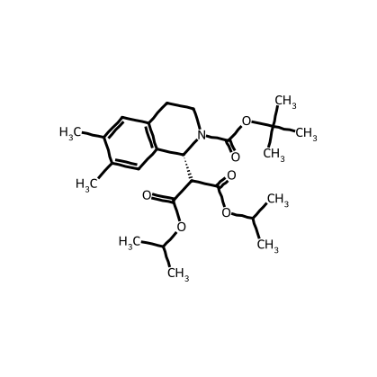 Cc1cc2c(cc1C)[C@@H](C(C(=O)OC(C)C)C(=O)OC(C)C)N(C(=O)OC(C)(C)C)CC2